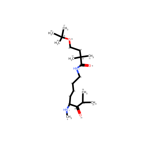 CNC(CCCCNC(=O)C(C)(C)CCOC(C)(C)C)C(=O)C(C)C